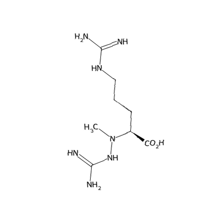 CN(NC(=N)N)[C@@H](CCCNC(=N)N)C(=O)O